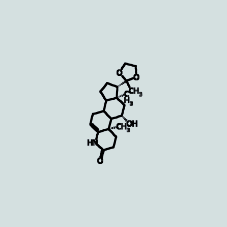 CC1([C@H]2CCC3C4CC=C5NC(=O)CC[C@]5(C)C4[C@@H](O)C[C@@]32C)OCCO1